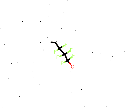 CCC(F)(F)C(F)(F)C([O])(F)F